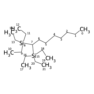 CCCCCCCC([Si](CC)(CC)CC)[Si](CC)(CC)CC